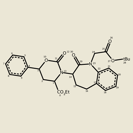 CCOC(=O)C1CC(c2ccccc2)OC(=O)N1C1CCc2ccccc2N(CC(=O)OC(C)(C)C)C1=O